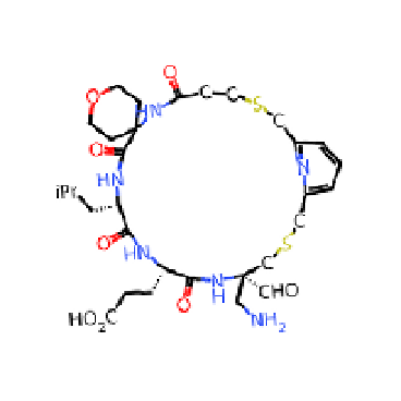 CC(C)C[C@@H]1NC(=O)C2(CCOCC2)NC(=O)CCSCc2cccc(n2)CSC[C@@](C=O)(CN)NC(=O)[C@H](CCC(=O)O)NC1=O